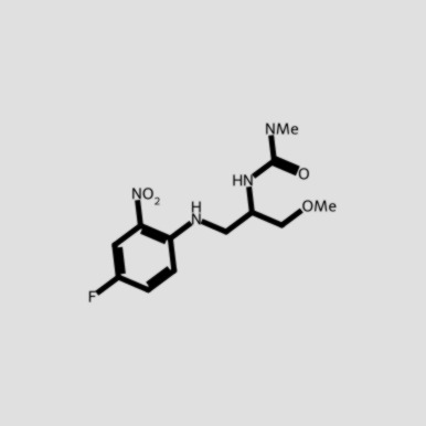 CNC(=O)NC(CNc1ccc(F)cc1[N+](=O)[O-])COC